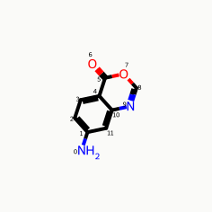 Nc1ccc2c(=O)ocnc2c1